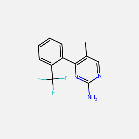 Cc1cnc(N)nc1-c1ccccc1C(F)(F)F